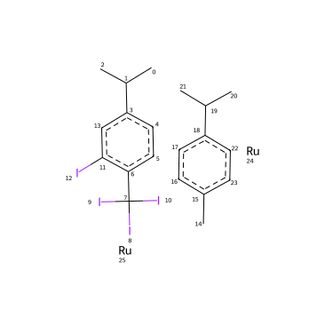 CC(C)c1ccc(C(I)(I)I)c(I)c1.Cc1ccc(C(C)C)cc1.[Ru].[Ru]